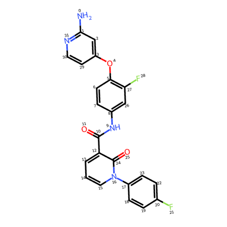 Nc1cc(Oc2ccc(NC(=O)c3cccn(-c4ccc(F)cc4)c3=O)cc2F)ccn1